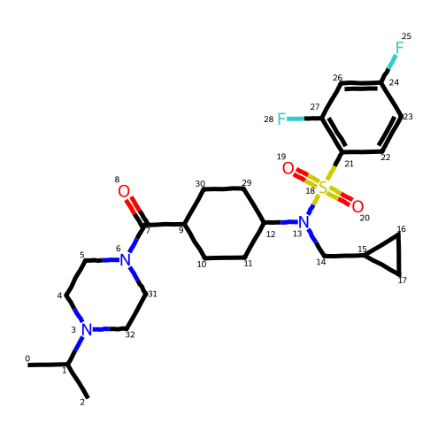 CC(C)N1CCN(C(=O)C2CCC(N(CC3CC3)S(=O)(=O)c3ccc(F)cc3F)CC2)CC1